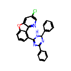 Clc1cnc2c(c1)oc1cccc(C3=NC(c4ccccc4)=NC(c4ccccc4)N3)c12